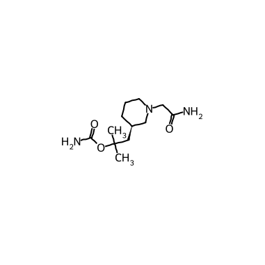 CC(C)(C[C@H]1CCCN(CC(N)=O)C1)OC(N)=O